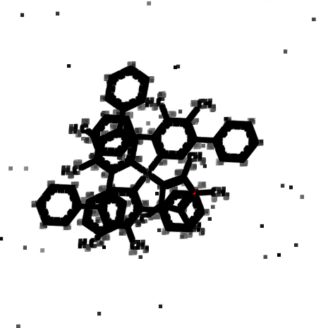 CC1=C(C)C(C)C([Si](c2cc(-c3ccccc3)c(C)c(C)c2-c2ccccc2)(c2cc(-c3ccccc3)c(C)c(C)c2-c2ccccc2)c2cc(-c3ccccc3)c(C)c(C)c2-c2ccccc2)=C1C